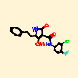 O=C(Nc1ccc(F)c(Cl)c1)C1=C(O)C(CCc2ccccc2)NC1=O